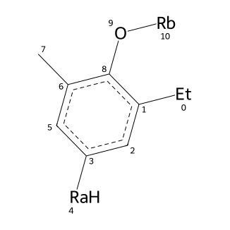 CCc1c[c]([RaH])cc(C)c1[O][Rb]